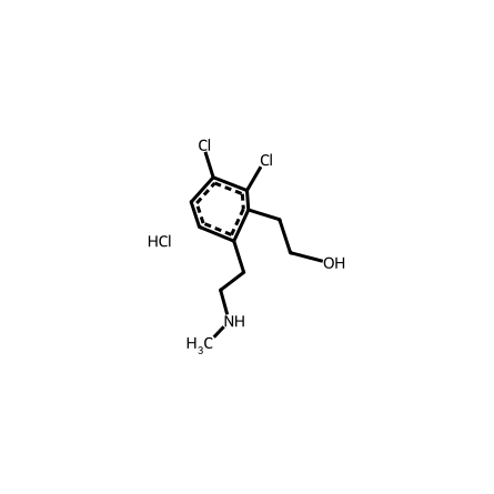 CNCCc1ccc(Cl)c(Cl)c1CCO.Cl